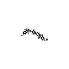 C[C@]1(c2ccc(Cl)cc2Cl)OC[C@@H](COc2ccc(N3CCN(NC(=O)c4ccc(O)cc4)CC3)cc2)O1